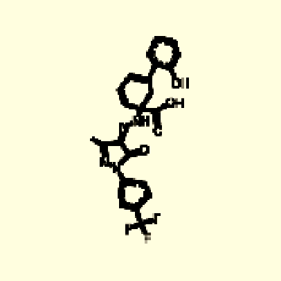 CC1=NN(c2ccc(C(F)(F)F)cc2)C(=O)C1=NNC1(C(=O)O)C=CC=C(c2ccccc2O)C1